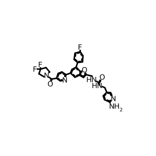 Nc1ccc(CNC(=O)NCc2cc3cc(-c4ccc(C(=O)N5CCC(F)(F)CC5)cn4)cc(-c4ccc(F)cc4)c3o2)cn1